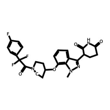 Cn1nc(C2CCC(=O)NC2=O)c2cccc(OC3CCN(C(=O)C(F)(F)c4ccc(F)cc4)CC3)c21